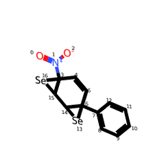 O=[N+]([O-])C12C=CC3(c4ccccc4)[Se]C3C1[Se]2